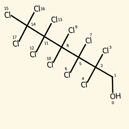 OCC(Cl)(Cl)C(Cl)(Cl)C(Cl)(Cl)C(Cl)(Cl)C(Cl)(Cl)Cl